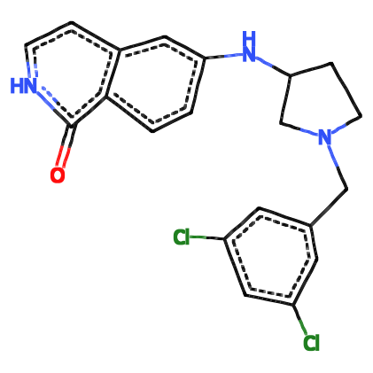 O=c1[nH]ccc2cc(NC3CCN(Cc4cc(Cl)cc(Cl)c4)C3)ccc12